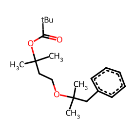 CC(C)(Cc1ccccc1)OCCC(C)(C)OC(=O)C(C)(C)C